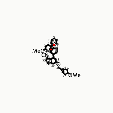 COc1ccc(C(=O)N2C3CC2CN(c2ccc(-c4cc(OCC5C6CC(OC)CC56)cn5ncc(C#N)c45)cn2)C3)cn1